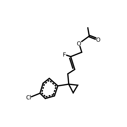 CC(=O)OCC(F)=CCC1(c2ccc(Cl)cc2)CC1